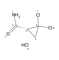 Cl.NC(=O)[C@H]1CC1(Cl)Cl